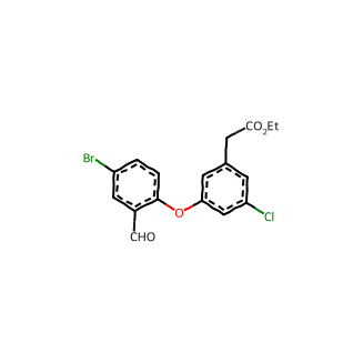 CCOC(=O)Cc1cc(Cl)cc(Oc2ccc(Br)cc2C=O)c1